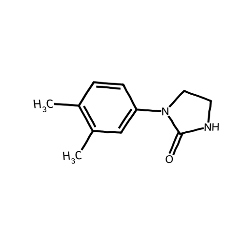 Cc1ccc(N2CCNC2=O)cc1C